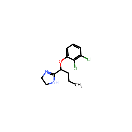 CCCC(Oc1cccc(Cl)c1Cl)C1=NCCN1